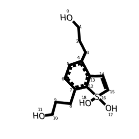 OCCCc1ccc(CCCO)c2c1C=CS2(O)O